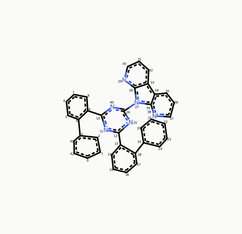 c1ccc(-c2ccccc2-c2nc(-c3ccccc3-c3ccccc3)nc(-n3c4ncccc4c4cccnc43)n2)cc1